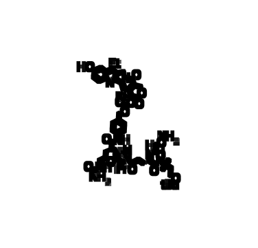 CCc1c2c(nc3ccc(O)cc13)-c1cc3c(c(=O)n1C2)COC(=O)[C@@]3(CC)OC(=O)OCc1ccc(NC(=O)[C@H](CCCNC(N)=O)NC(=O)C(NC(=O)CC[C@H](NC(=O)CON)C(=O)NC(C)(C)CCOC(C)(C)C)C(C)C)cc1